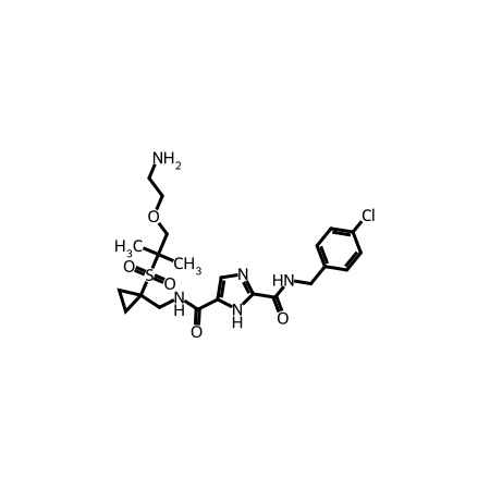 CC(C)(COCCN)S(=O)(=O)C1(CNC(=O)c2cnc(C(=O)NCc3ccc(Cl)cc3)[nH]2)CC1